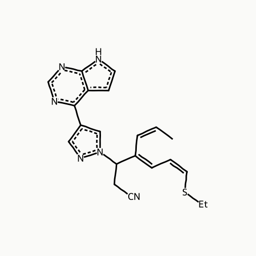 C\C=C/C(=C\C=C/SCC)C(CC#N)n1cc(-c2ncnc3[nH]ccc23)cn1